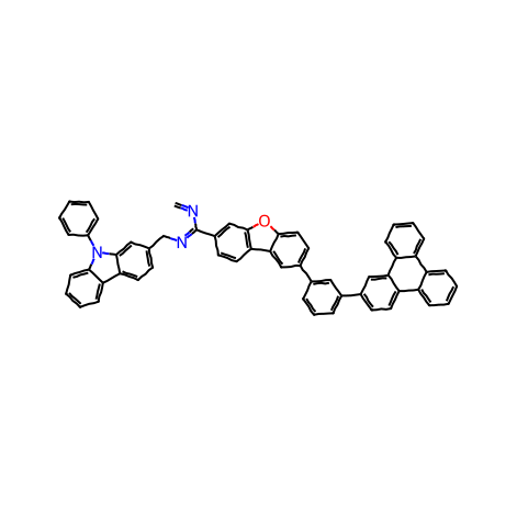 C=N/C(=N\Cc1ccc2c3ccccc3n(-c3ccccc3)c2c1)c1ccc2c(c1)oc1ccc(-c3cccc(-c4ccc5c6ccccc6c6ccccc6c5c4)c3)cc12